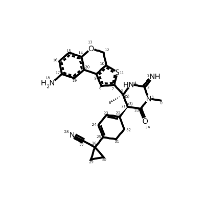 CN1C(=N)N[C@](C)(c2cc3c(s2)COc2ccc(N)cc2-3)[C@H](C2=CC=C(C3(C#N)CC3)CC2)C1=O